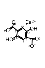 O=C([O-])c1cc(O)c(C(=O)[O-])cc1O.[Ca+2]